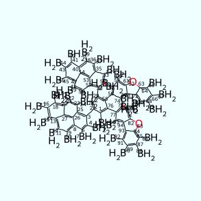 Bc1c(-c2c(B)c(B)c3c(B)c(B)c4c(B)c(B)c(B)c5c(B)c(B)c2c3c45)cc(-c2c(B)c(B)c3c(B)c(B)c4c(B)c(B)c(B)c5c(B)c(B)c2c3c45)c(-c2c(B)c(B)c3oc4c(B)c(B)c(B)c(B)c4c3c2B)c1-c1c(B)c(B)c2oc3c(B)c(B)c(B)c(B)c3c2c1B